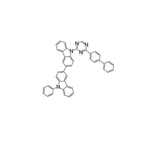 c1ccc(-c2ccc(-c3ncnc(-n4c5ccccc5c5cc(-c6ccc7c(c6)c6ccccc6n7-c6ccccc6)ccc54)n3)cc2)cc1